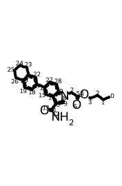 CCCCOC(=O)Cn1cc(C(N)=O)c2cc(-c3ccc4c(c3)CCCC4)ccc21